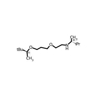 CC(C)[C@@H](C)NCCOCCCO[C@@H](C)C(C)(C)C